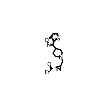 CCC(=O)[C@H]1CC1CN1CCC(c2noc3ccsc23)CC1